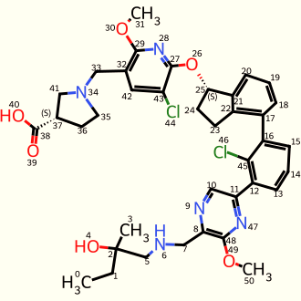 CCC(C)(O)CNCc1ncc(-c2cccc(-c3cccc4c3CC[C@@H]4Oc3nc(OC)c(CN4CC[C@H](C(=O)O)C4)cc3Cl)c2Cl)nc1OC